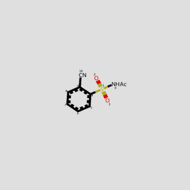 CC(=O)NS(=O)(=O)c1ccccc1C#N